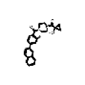 O=C(c1ccc(-c2ccc3ccccc3c2)cc1F)N1CCN(C(=O)C2(O)CC2)CC1